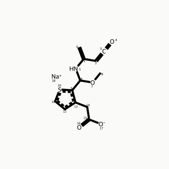 C=C(C=C=O)NC(OC)c1sccc1CC(=O)[O-].[Na+]